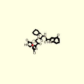 COc1cccc2[nH]c(C(=O)N[C@@H](CC3CCCCC3)C(=O)N[C@@H](C[C@@H]3CCNC3=O)C(=O)c3nc(Cl)cs3)cc12